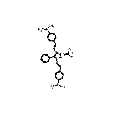 CN(C)c1ccc(/C=N/n2cc[n+](/N=C/c3ccc(N(C)C)cc3)c2-c2ccccc2)cc1.O=C([O-])[O-].[H+]